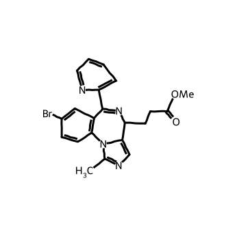 COC(=O)CCC1N=C(c2ccccn2)c2cc(Br)ccc2-n2c1cnc2C